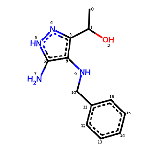 CC(O)c1n[nH]c(N)c1NCc1ccccc1